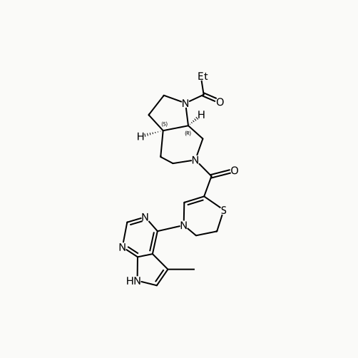 CCC(=O)N1CC[C@@H]2CCN(C(=O)C3=CN(c4ncnc5[nH]cc(C)c45)CCS3)C[C@@H]21